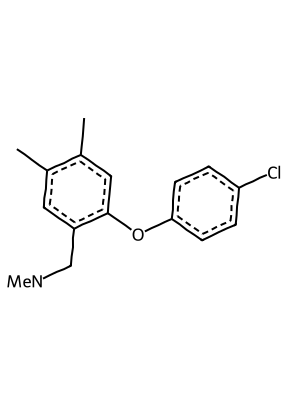 CNCc1cc(C)c(C)cc1Oc1ccc(Cl)cc1